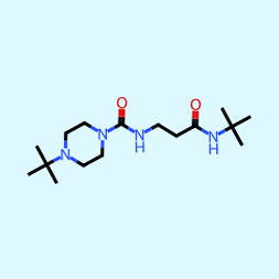 CC(C)(C)NC(=O)CCNC(=O)N1CCN(C(C)(C)C)CC1